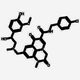 COc1cc(C(O)CN(C)Cc2cc3c4c(c2)c(=O)c(C(=O)NCc2ccc(Cl)cc2)cn4CC(=O)N3C)ccc1O